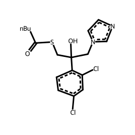 CCCCC(=O)SCC(O)(Cn1ccnc1)c1ccc(Cl)cc1Cl